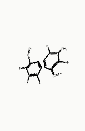 CCOc1ccc(F)c(N)c1F.COc1ccc(F)c(N)c1F